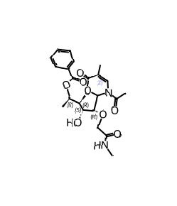 CNC(=O)CO[C@H]1C(N(/C=C(/C)C(C)=O)C(C)=O)O[C@H]([C@@H](C)OC(=O)c2ccccc2)[C@H]1O